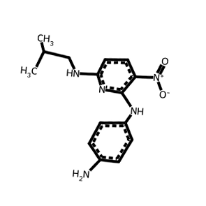 CC(C)CNc1ccc([N+](=O)[O-])c(Nc2ccc(N)cc2)n1